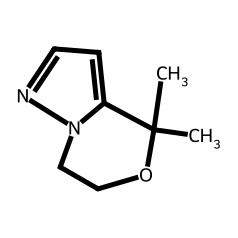 CC1(C)OCCn2nccc21